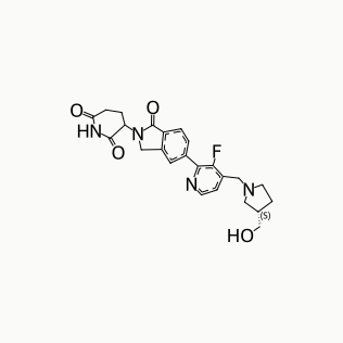 O=C1CCC(N2Cc3cc(-c4nccc(CN5CC[C@H](CO)C5)c4F)ccc3C2=O)C(=O)N1